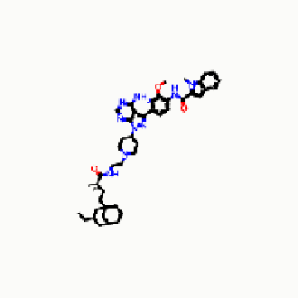 CCC1CC2CCCC(CC[C@@H](C)C(=O)NCCN3CCC(n4nc(-c5ccc(NC(=O)c6cc7ccccc7n6C)c(OC)c5)c5c(N)ncnc54)CC3)(C1)C2